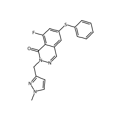 Cn1ccc(Cn2ncc3cc(Sc4ccccc4)cc(F)c3c2=O)n1